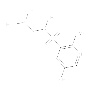 COc1ncc(C)cc1S(=O)(=O)N(C)CN(C)C